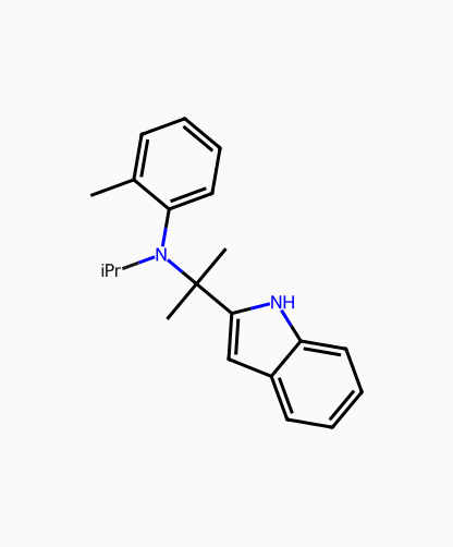 Cc1ccccc1N(C(C)C)C(C)(C)c1cc2ccccc2[nH]1